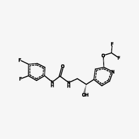 O=C(NC[C@@H](O)c1ccnc(OC(F)F)c1)Nc1ccc(F)c(F)c1